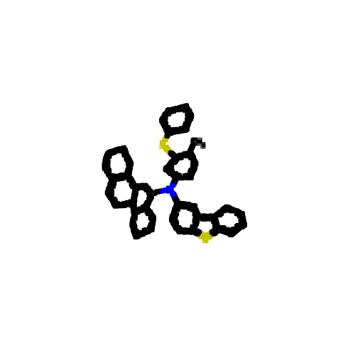 Cc1ccc(N(c2ccc3sc4ccccc4c3c2)c2cc3c4ccccc4ccc3c3ccccc23)cc1Sc1ccccc1